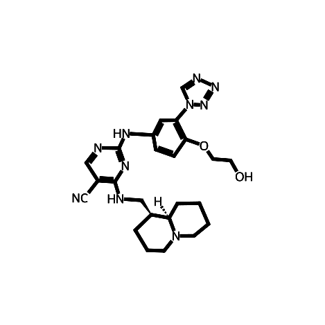 N#Cc1cnc(Nc2ccc(OCCO)c(-n3cnnn3)c2)nc1NC[C@@H]1CCCN2CCCC[C@H]12